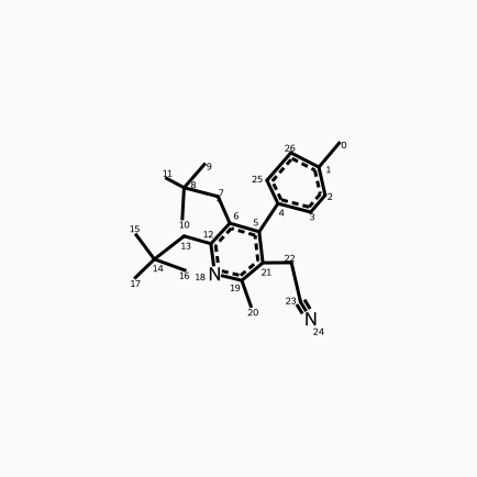 Cc1ccc(-c2c([CH]C(C)(C)C)c(CC(C)(C)C)nc(C)c2CC#N)cc1